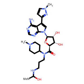 CNC(O)NCCCN(C(=O)[C@H]1O[C@@H](n2cc(-c3ccn(C)n3)c3c(N)ncnc32)[C@H](O)[C@@H]1O)C1CCN(C)CC1